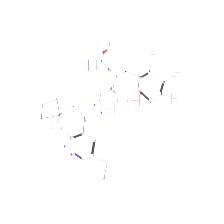 CC(=O)N[C@@H](Cc1ccc(F)c(F)c1F)[C@@H](O)CN[C@H]1CC2(CCC2)Oc2ncc(CC(C)C)cc21